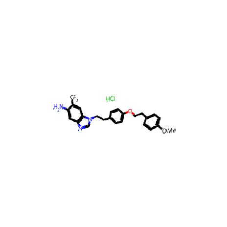 COc1ccc(CCOc2ccc(CCn3cnc4cc(N)c(C(F)(F)F)cc43)cc2)cc1.Cl